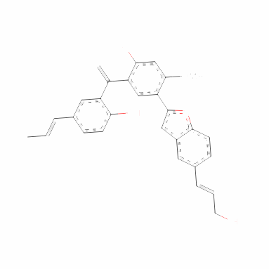 C=C(c1cc(/C=C/C)ccc1O)c1cc(-c2cc3cc(/C=C/CO)ccc3o2)c(OC)cc1O